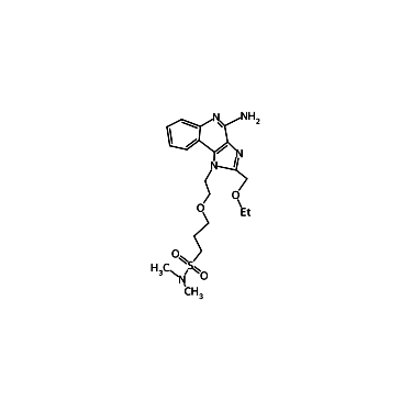 CCOCc1nc2c(N)nc3ccccc3c2n1CCOCCCS(=O)(=O)N(C)C